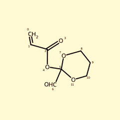 C=CC(=O)OC1(C=O)OCCCO1